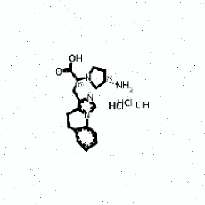 Cl.Cl.Cl.N[C@H]1CCN([C@@H](Cc2ncn3c2CCc2ccccc2-3)C(=O)O)C1